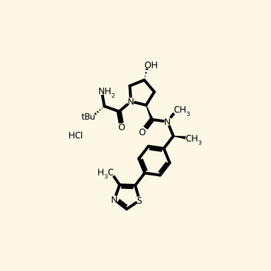 Cc1ncsc1-c1ccc([C@H](C)N(C)C(=O)[C@@H]2C[C@@H](O)CN2C(=O)[C@@H](N)C(C)(C)C)cc1.Cl